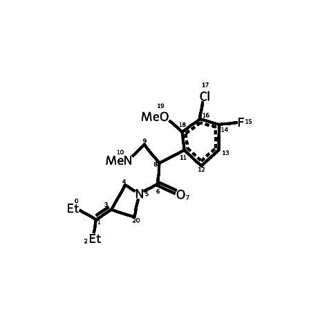 CCC(CC)=C1CN(C(=O)C(CNC)c2ccc(F)c(Cl)c2OC)C1